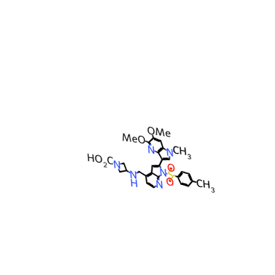 COc1cc2c(nc1OC)c(-c1cc3c(CNC4CN(C(=O)O)C4)ccnc3n1S(=O)(=O)c1ccc(C)cc1)cn2C